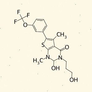 Cc1c(-c2cccc(OC(F)(F)F)c2)sc2c1C(=O)N(CCCO)C(O)N2C